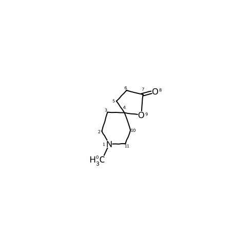 CN1CCC2(CCC(=O)O2)CC1